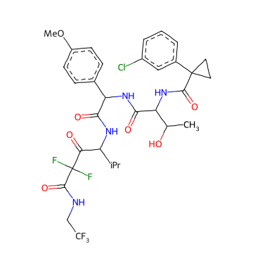 COc1ccc(C(NC(=O)C(NC(=O)C2(c3cccc(Cl)c3)CC2)C(C)O)C(=O)NC(C(=O)C(F)(F)C(=O)NCC(F)(F)F)C(C)C)cc1